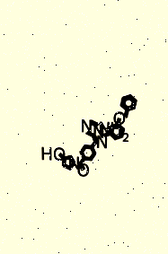 N[N+]12C=CN=CC1=C(C1CCC(C(=O)N3CCC(O)C3)CC1)N=C2c1cccc(OCc2ccccc2)c1